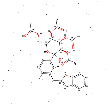 COC1(c2ccc(F)c(Cc3cc4ccccc4s3)c2)O[C@H](COC(C)=O)[C@@H](OC(C)=O)[C@H](OC(C)=O)[C@H]1OC(C)=O